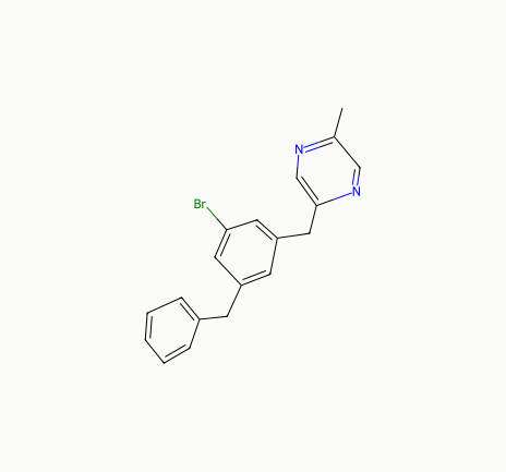 Cc1cnc(Cc2cc(Br)cc(Cc3ccccc3)c2)cn1